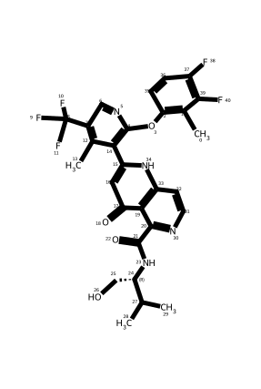 Cc1c(Oc2ncc(C(F)(F)F)c(C)c2-c2cc(=O)c3c(C(=O)N[C@@H](CO)C(C)C)nccc3[nH]2)ccc(F)c1F